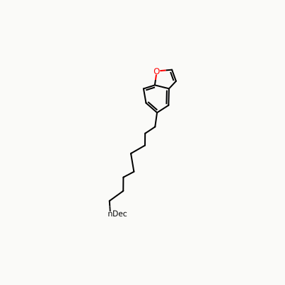 CCCCCCCCCCCCCCCCCCc1ccc2occc2c1